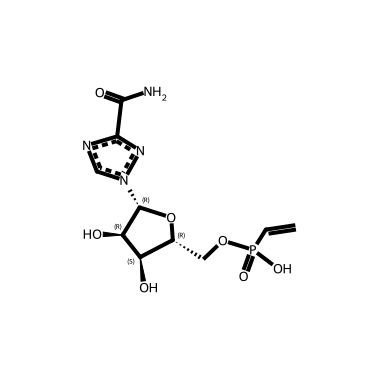 C=CP(=O)(O)OC[C@H]1O[C@@H](n2cnc(C(N)=O)n2)[C@H](O)[C@@H]1O